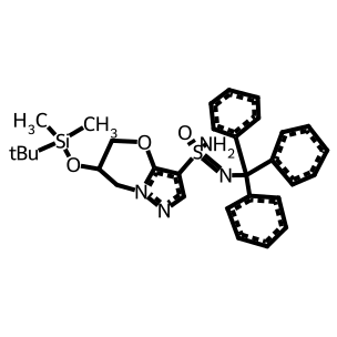 CC(C)(C)[Si](C)(C)OC1COc2c(S(N)(=O)=NC(c3ccccc3)(c3ccccc3)c3ccccc3)cnn2C1